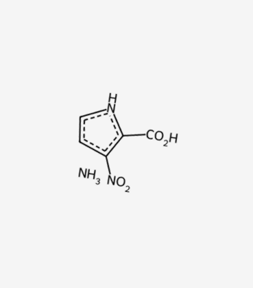 N.O=C(O)c1[nH]ccc1[N+](=O)[O-]